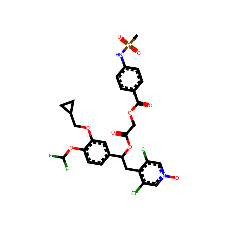 CS(=O)(=O)Nc1ccc(C(=O)OCC(=O)OC(Cc2c(Cl)c[n+]([O-])cc2Cl)c2ccc(OC(F)F)c(OCC3CC3)c2)cc1